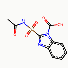 CC(=O)NS(=O)(=O)c1nc2ccccc2n1C(=O)O